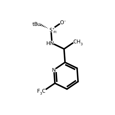 CC(N[S@@+]([O-])C(C)(C)C)c1cccc(C(F)(F)F)n1